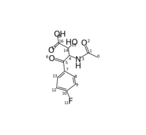 CC(=O)NC(C(=O)c1ccc(F)cc1)C(O)C(=O)O